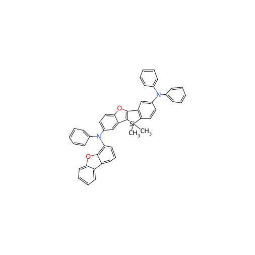 C[Si]1(C)c2ccc(N(c3ccccc3)c3ccccc3)cc2-c2oc3ccc(N(c4ccccc4)c4cccc5c4oc4ccccc45)cc3c21